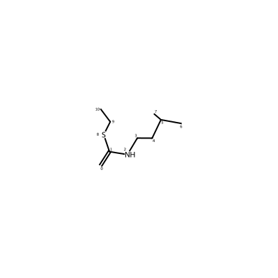 C=C(NCCC(C)C)SCC